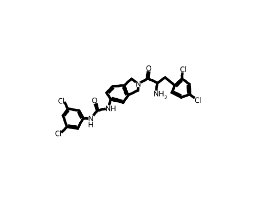 NC(Cc1ccc(Cl)cc1Cl)C(=O)N1Cc2ccc(NC(=O)Nc3cc(Cl)cc(Cl)c3)cc2C1